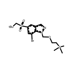 CC(C)(C)CS(=O)(=O)c1cc(Br)c2c(cnn2COCC[Si](C)(C)C)c1